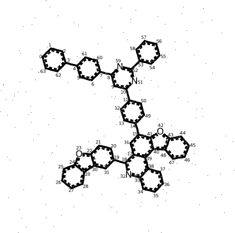 c1ccc(-c2ccc(-c3cc(-c4ccc(-c5cc6c(-c7ccc8oc9ccccc9c8c7)nc7ccccc7c6c6c5oc5ccccc56)cc4)nc(-c4ccccc4)n3)cc2)cc1